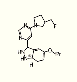 CC(C)OC1=CC[C@H]2NNC(c3cc(N4CCC(CF)C4)ncn3)C2=C1